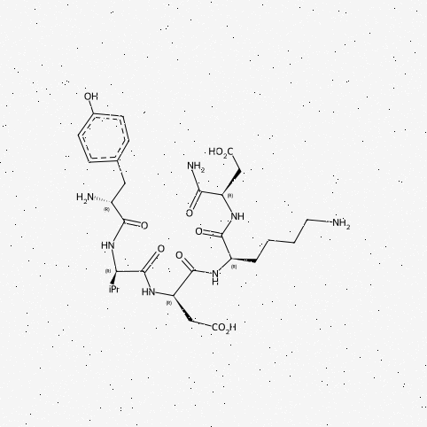 CC(C)[C@@H](NC(=O)[C@H](N)Cc1ccc(O)cc1)C(=O)N[C@H](CC(=O)O)C(=O)N[C@H](CCCCN)C(=O)N[C@H](CC(=O)O)C(N)=O